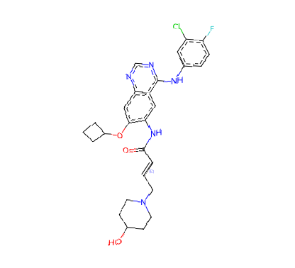 O=C(/C=C/CN1CCC(O)CC1)Nc1cc2c(Nc3ccc(F)c(Cl)c3)ncnc2cc1OC1CCC1